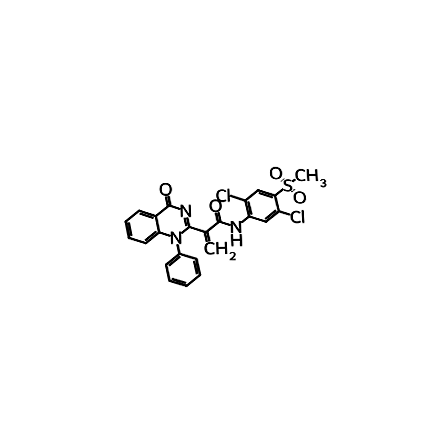 C=C(C(=O)Nc1cc(Cl)c(S(C)(=O)=O)cc1Cl)c1nc(=O)c2ccccc2n1-c1ccccc1